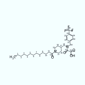 CCCCCCCCCCCCC(=O)N1CCC(CN(Cc2ccc(C(F)(F)F)cc2)C(=O)C(=O)O)CC1